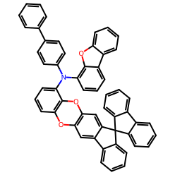 c1ccc(-c2ccc(N(c3cccc4c3Oc3cc5c(cc3O4)-c3ccccc3C53c4ccccc4-c4ccccc43)c3cccc4c3oc3ccccc34)cc2)cc1